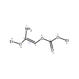 CCOC(=O)O/C=C(\N)OCC